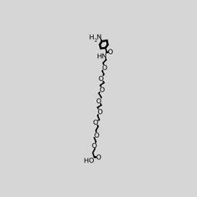 Nc1ccc(C(=O)NCCOCCOCCOCCOCCOCCOCCOCCOCCC(=O)O)cc1